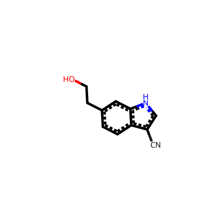 N#Cc1c[nH]c2cc(CCO)ccc12